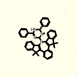 CN1C(c2ccccc2)NC(c2ccccc2)=NC1N1C2=C(c3ccccc3C3=C1c1ccccc1C3(C)C)C(C)(C)c1ccccc12